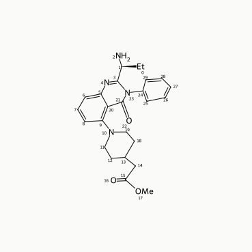 CC[C@H](N)c1nc2cccc(N3CCC(CC(=O)OC)CC3)c2c(=O)n1-c1ccccc1